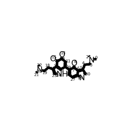 CN(C)CCC1=C2C(=O)C(C3=CC(=O)C(=O)c4c(CCN(C)C)c[nH]c43)=CC=C2N=C1